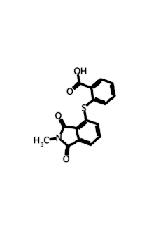 CN1C(=O)c2cccc(Sc3ccccc3C(=O)O)c2C1=O